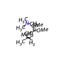 C=C(C)C.CN(C)C.CO[SiH](OC)OC